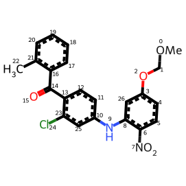 COCOc1ccc([N+](=O)[O-])c(Nc2ccc(C(=O)c3ccccc3C)c(Cl)c2)c1